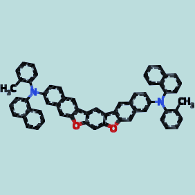 Cc1ccccc1N(c1ccc2cc3c(cc2c1)oc1cc2oc4cc5cc(N(c6ccccc6C)c6cccc7ccccc67)ccc5cc4c2cc13)c1cccc2ccccc12